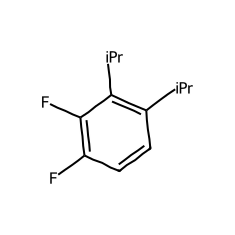 CC(C)c1ccc(F)c(F)c1C(C)C